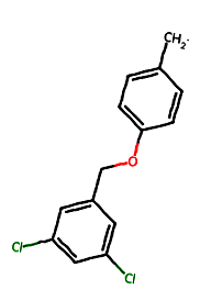 [CH2]c1ccc(OCc2cc(Cl)cc(Cl)c2)cc1